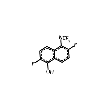 Oc1c(F)ccc2c(NC(F)(F)F)c(F)ccc12